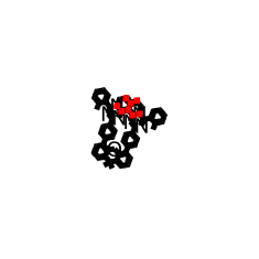 Cc1ccccc1-c1nc(-c2ccc(-c3cccc4c3Oc3c(-c5ccc(-c6nc(-c7ccccc7C)nc(-c7ccccc7C)n6)cc5)cccc3C4(C)C)cc2)nc(-c2ccccc2C)n1